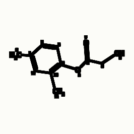 Cc1ccc(OC(=O)CO)c(C)c1